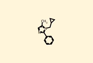 Cc1cnc(-c2ccccc2)n1CC1CC1